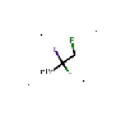 CCCC(F)(I)CF